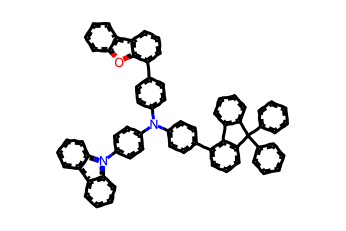 c1ccc(C2(c3ccccc3)c3ccccc3-c3c(-c4ccc(N(c5ccc(-c6cccc7c6oc6ccccc67)cc5)c5ccc(-n6c7ccccc7c7ccccc76)cc5)cc4)cccc32)cc1